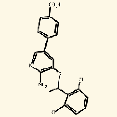 CC(Oc1cc(-c2ccc(C(=O)O)cc2)cnc1N)c1c(Cl)cccc1Cl